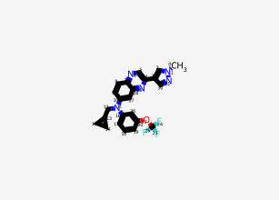 Cn1cc(-c2cnc3ccc(N(CC4CC4)c4cccc(OC(F)(F)F)c4)cc3n2)cn1